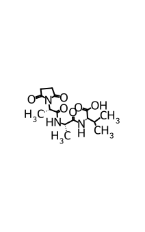 CC(C)[C@H](NC(=O)[C@H](C)NC(=O)[C@H](C)N1C(=O)CCC1=O)C(=O)O